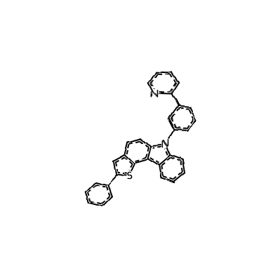 c1ccc(-c2cc3ccc4c(c5ccccc5n4-c4cccc(-c5ccccn5)c4)c3s2)cc1